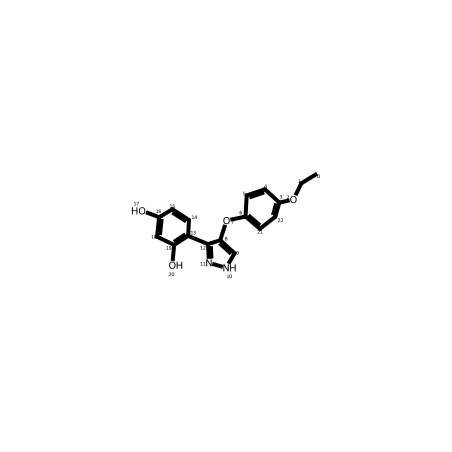 CCOc1ccc(Oc2c[nH]nc2-c2ccc(O)cc2O)cc1